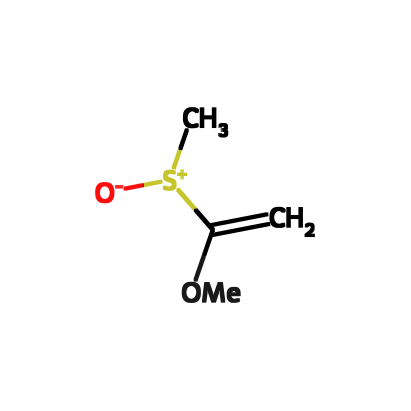 C=C(OC)[S+](C)[O-]